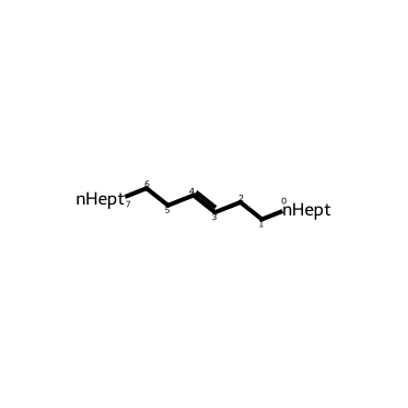 CCCCCCCCCC=CCCCCCCCCC